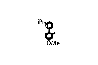 COc1ccc(-c2cccc(C(C)C)n2)c(C)c1